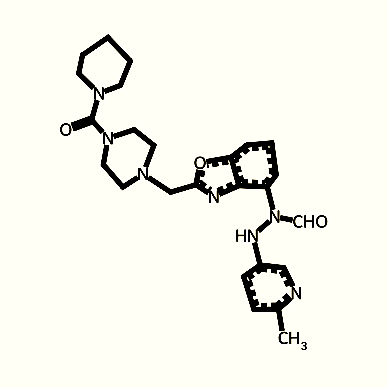 Cc1ccc(NN(C=O)c2cccc3oc(CN4CCN(C(=O)N5CCCCC5)CC4)nc23)cn1